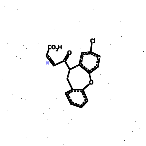 O=C(O)/C=C\C(=O)C1Cc2ccccc2Oc2ccc(Cl)cc21